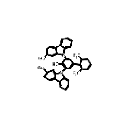 CC(C)(C)c1ccc2c3ccccc3n(-c3cc(-c4c(C(F)(F)F)cccc4C(F)(F)F)cc(-n4c5ccccc5c5ccc(C(C)(C)C)cc54)c3C#N)c2c1